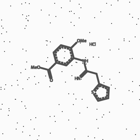 COC(=O)c1ccc(OC)c(NC(=N)Cc2cccs2)c1.Cl